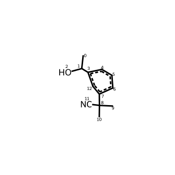 CC(O)c1cccc(C(C)(C)C#N)c1